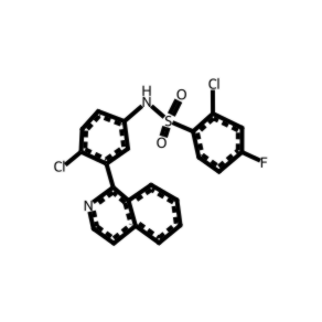 O=S(=O)(Nc1ccc(Cl)c(-c2nccc3ccccc23)c1)c1ccc(F)cc1Cl